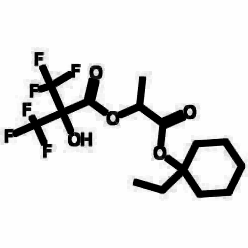 CCC1(OC(=O)C(C)OC(=O)C(O)(C(F)(F)F)C(F)(F)F)CCCCC1